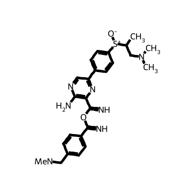 CNCc1ccc(C(=N)OC(=N)c2nc(-c3ccc([S+]([O-])C(C)CN(C)C)cc3)cnc2N)cc1